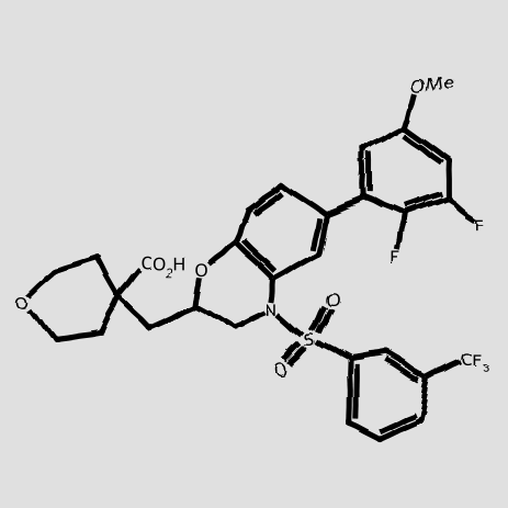 COc1cc(F)c(F)c(-c2ccc3c(c2)N(S(=O)(=O)c2cccc(C(F)(F)F)c2)CC(CC2(C(=O)O)CCOCC2)O3)c1